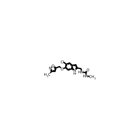 CNC(=O)NCc1cc2cc(Cl)c(OCc3cc(C)no3)cc2[nH]1